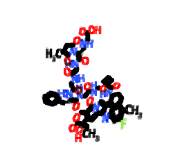 CC[C@@]1(O)C(=O)OCc2c1cc1n(c2=O)Cc2c-1nc1cc(F)c(C)c3c1c2[C@@H](NC(=O)C1(OCNC(=O)CNC(=O)[C@H](Cc2ccccc2)NC(=O)CNC(=O)CNC(=O)[C@H](CNCC(=O)O)N2C(=O)CC(C)C2=O)CCC1)CC3